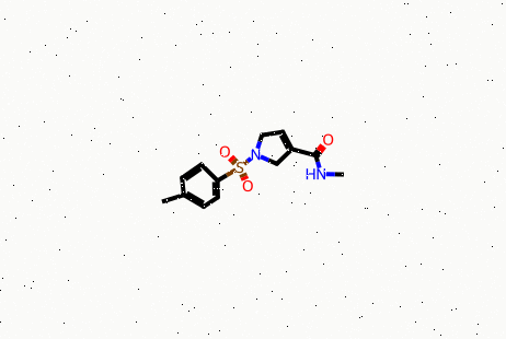 CNC(=O)C1=CCN(S(=O)(=O)c2ccc(C)cc2)C1